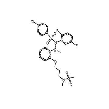 C[C@H](c1ccccc1OCCCN(C)S(C)(=O)=O)N(c1cc(F)ccc1F)S(=O)(=O)c1ccc(Cl)cc1